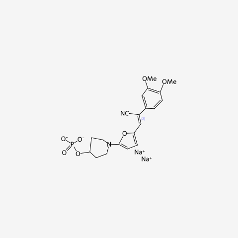 COc1ccc(/C(C#N)=C/c2ccc(N3CCC(OP(=O)([O-])[O-])CC3)o2)cc1OC.[Na+].[Na+]